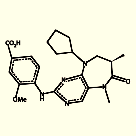 COc1cc(C(=O)O)ccc1Nc1ncc2c(n1)N(C1CCCC1)C[C@H](C)C(=O)N2C